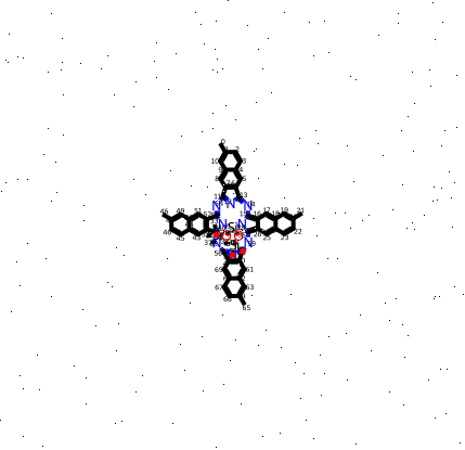 Cc1ccc2cc3c(cc2c1)C1=NC/3=N\c2c3cc4cc(C)ccc4cc3c3n2[Si](O[Si](C)(C)C)(O[Si](C)(C)C)n2/c(c4cc5ccc(C)cc5cc4/c2=N/1)=N\C1=NC(=N\3)/c2cc3cc(C)ccc3cc21